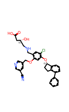 N#Cc1cncc(COc2cc(O[C@H]3CCc4c(-c5ccccc5)cccc43)c(Cl)cc2CNC[C@@H](O)CC(=O)O)c1